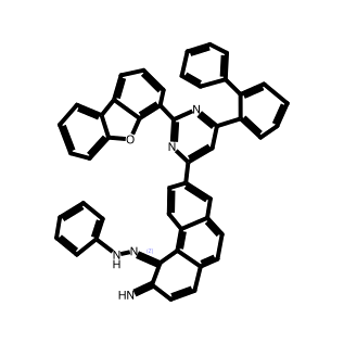 N=C1C=Cc2ccc3cc(-c4cc(-c5ccccc5-c5ccccc5)nc(-c5cccc6c5oc5ccccc56)n4)ccc3c2/C1=N/Nc1ccccc1